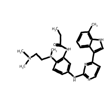 CCC(=O)Nc1cc(Nc2nccc(-c3c[nH]c4c(C)cccc34)n2)ccc1N(C)CCN(C)C